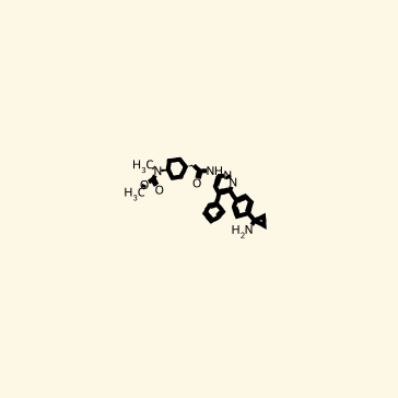 COC(=O)N(C)[C@H]1CC[C@H](CC(=O)Nc2cc(-c3ccccc3)c(-c3ccc(C4(N)CC4)cc3)nn2)CC1